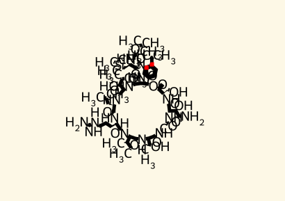 CC[C@H](C)C1NC(=O)[C@@H](CCCNC(=N)N)NC(=O)[C@H](CC(C)C)NC(=O)[C@H]([C@H](O)C(C)C)NC(=O)[C@@H](NC(=O)[C@H](CC(C)C)NC(=O)[C@@H](C[Si](C)(C)C)NC(=O)OC(C)(C)C)[C@@H](c2ccccc2)OC(=O)[C@H](CO)NC(=O)[C@H]([C@H](O)C(N)=O)NC(=O)CNC(=O)C([C@H](C)O)NC1=O